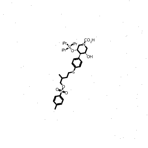 Cc1ccc(S(=O)(=O)OCC(C)CCSc2ccc([C@@H]3[C@@H](O)CN(C(=O)O)C[C@H]3O[Si](C(C)C)(C(C)C)C(C)C)cc2)cc1